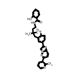 CC(C)(CCNC(=O)c1ccccc1O)Cc1cc(-c2cn3nc(-c4cccnc4C(F)(F)F)ccc3n2)ccc1F